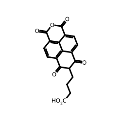 O=C(O)CCCC1C(=O)c2ccc3c4c(ccc(c24)C1=O)C(=O)OC3=O